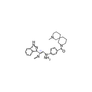 C=N/C(=C\N(N)c1ccc(C(=O)N2CCCC3(CCCN(C)C3)C2)cc1)c1n[nH]c2ccccc12